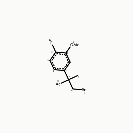 COc1cc(C(C)(CBr)C(C)=O)ccc1F